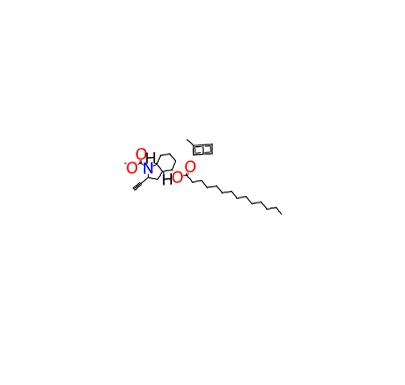 C#CC1C[C@H]2[C@@H](OC(=O)CCCCCCCCCCCCC)CCC[C@H]2N1C(=O)OC.Cc1cc2ccc1-2